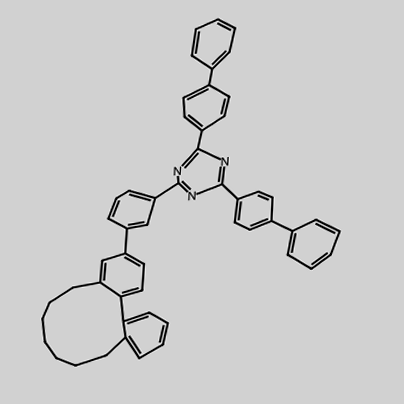 c1ccc(-c2ccc(-c3nc(-c4ccc(-c5ccccc5)cc4)nc(-c4cccc(-c5ccc6c(c5)CCCCCCCc5ccccc5-6)c4)n3)cc2)cc1